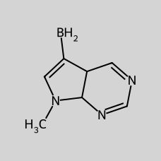 BC1=CN(C)C2N=CN=CC12